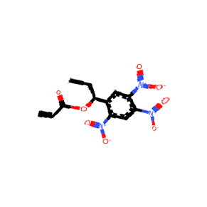 C=CC(=O)OC(CC)c1cc([N+](=O)[O-])c([N+](=O)[O-])cc1[N+](=O)[O-]